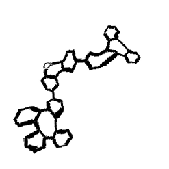 c1ccc2c(c1)-c1ccccc1-c1ccc(-c3ccc4oc5ccc(-c6ccc7c8ccccc8c8ccccc8c7c6)cc5c4c3)cc1-c1ccccc1-2